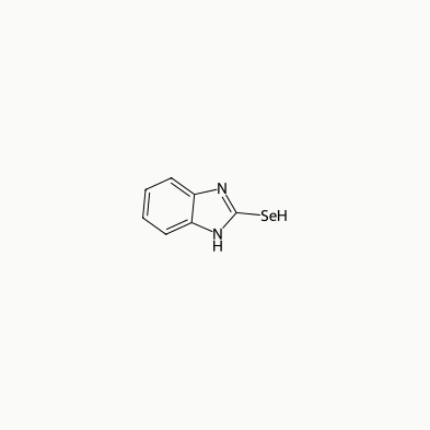 [SeH]c1nc2ccccc2[nH]1